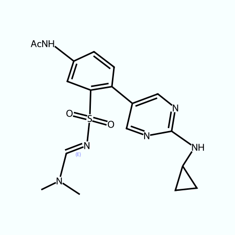 CC(=O)Nc1ccc(-c2cnc(NC3CC3)nc2)c(S(=O)(=O)/N=C/N(C)C)c1